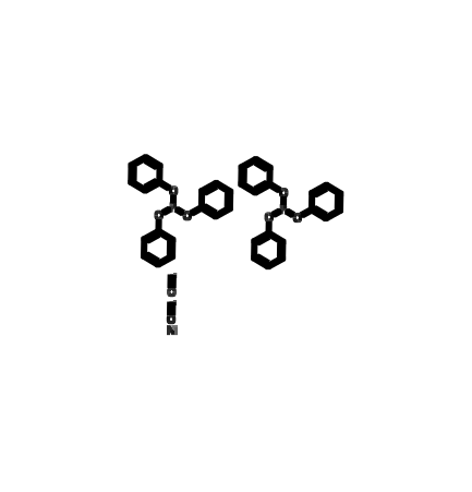 [C]=O.[C]=O.[Ni].c1ccc(OP(Oc2ccccc2)Oc2ccccc2)cc1.c1ccc(OP(Oc2ccccc2)Oc2ccccc2)cc1